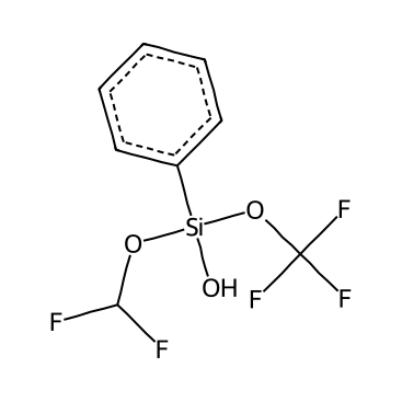 O[Si](OC(F)F)(OC(F)(F)F)c1ccccc1